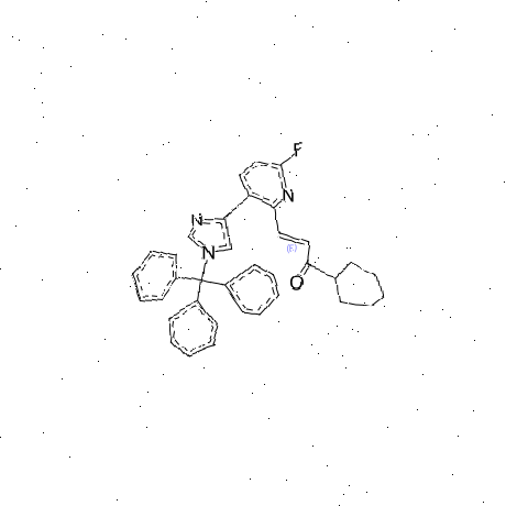 O=C(/C=C/c1nc(F)ccc1-c1cn(C(c2ccccc2)(c2ccccc2)c2ccccc2)cn1)C1CCCCC1